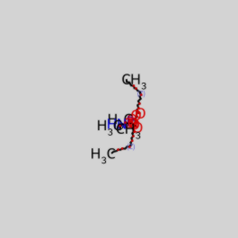 CCCCCCCC/C=C\CCCCCCCC(=O)OCC(COC(=O)CCCCCCC/C=C\CCCCCCCC)OP(C)(=O)OCCNC(C)C